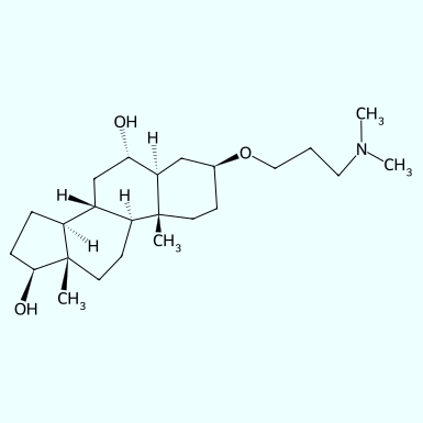 CN(C)CCCO[C@H]1CC[C@@]2(C)[C@H](C1)[C@@H](O)C[C@@H]1[C@@H]2CC[C@]2(C)[C@@H](O)CC[C@@H]12